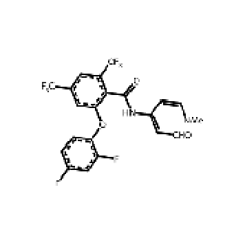 CN/C=C\C(=C/C=O)NC(=O)c1c(Oc2ccc(F)cc2F)cc(C(F)(F)F)cc1C(F)(F)F